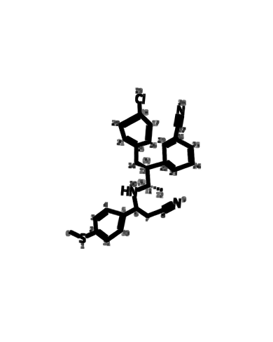 CSc1ccc(C(CC#N)N[C@@H](C)[C@@H](Cc2ccc(Cl)cc2)c2cccc(C#N)c2)cc1